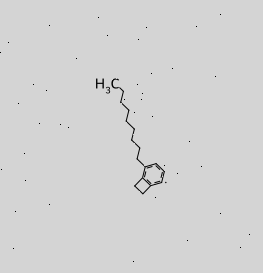 CCCCCCCCCc1cc[c]c2c1CC2